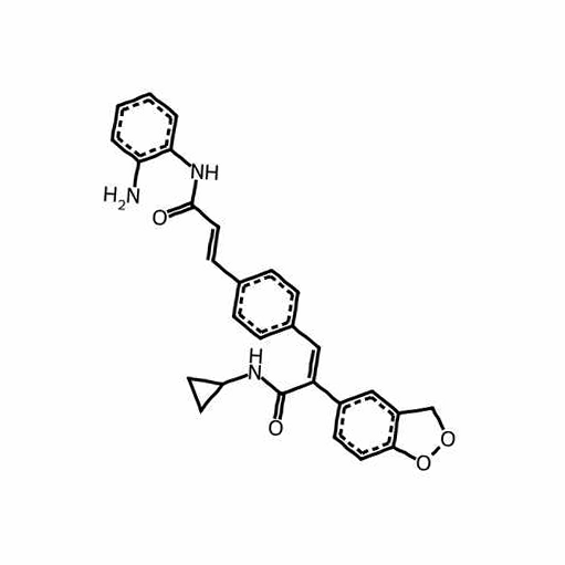 Nc1ccccc1NC(=O)C=Cc1ccc(C=C(C(=O)NC2CC2)c2ccc3c(c2)COO3)cc1